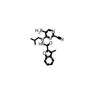 Bc1cnc(C#N)nc1N(CC(C)C)NC(=O)c1oc2ccccc2c1C